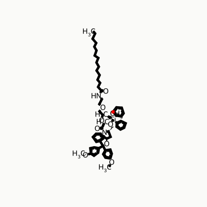 CCCCCCCCCCCCCCCC(=O)NCCOCCOCC(=O)N1C[C@H](OC(c2ccccc2)(c2ccc(OC)cc2)c2ccc(OC)cc2)C[C@H]1CO[Si](c1ccccc1)(c1ccccc1)C(C)(C)C